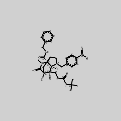 CN1C(=O)[C@@H]2CC3CN(Cc4ccc([N+](=O)[O-])cc4)[C@@H]([C@@H]2CCC(=O)OC(C)(C)C)[C@]31C(=O)NCc1ccccc1